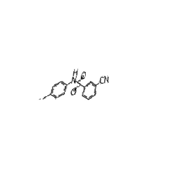 [CH2]c1ccc(NS(=O)(=O)c2cccc(C#N)c2)cc1